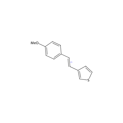 COc1ccc(/C=C/c2ccsc2)cc1